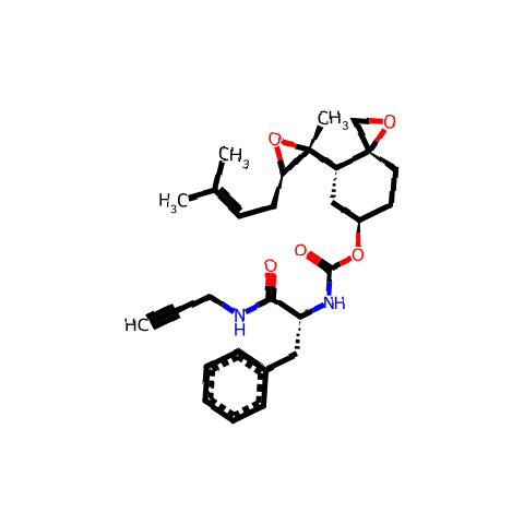 C#CCNC(=O)[C@@H](Cc1ccccc1)NC(=O)O[C@@H]1CC[C@]2(CO2)[C@@H]([C@@]2(C)O[C@@H]2CC=C(C)C)C1